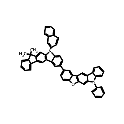 CC1(C)c2ccccc2-c2cc3c4cc(-c5ccc6oc7cc8c(cc7c6c5)c5ccccc5n8-c5ccccc5)ccc4n(-c4ccc5ccccc5c4)c3cc21